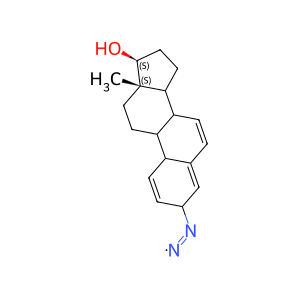 C[C@]12CCC3C4C=CC(N=[N])C=C4C=CC3C1CC[C@@H]2O